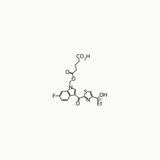 CC[C@H](O)c1csc(C(=O)c2cn(COC(=O)CCCC(=O)O)c3cc(F)ccc23)n1